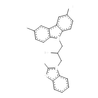 Cc1ccc2c(c1)c1cc(I)ccc1n2CC(O)Cn1c(C)nc2ccccc21